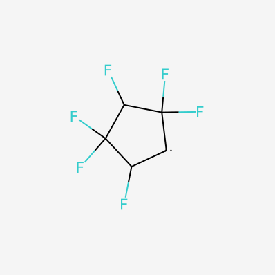 FC1[CH]C(F)(F)C(F)C1(F)F